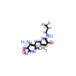 Cc1nc2nonc2c(N)c1Cc1ccc(Br)c(NCCC(F)F)n1